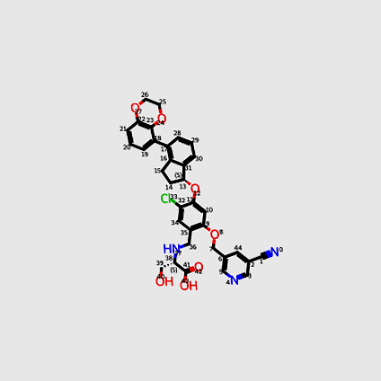 N#Cc1cncc(COc2cc(O[C@H]3CCc4c(-c5cccc6c5OCCO6)cccc43)c(Cl)cc2CN[C@@H](CO)C(=O)O)c1